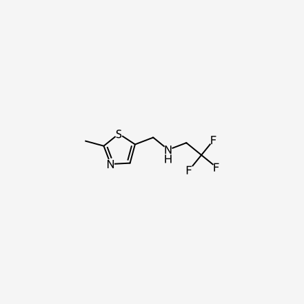 Cc1ncc(CNCC(F)(F)F)s1